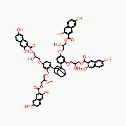 O=C(OCC(O)COc1ccc(C23CC4CC(C2)CC(c2ccc(OCC(O)COC(=O)c5cc6cc(O)ccc6cc5O)cc2OCC(O)COC(=O)c2cc5cc(O)ccc5cc2O)(C4)C3)c(OCC(O)COC(=O)c2cc3cc(O)ccc3cc2O)c1)c1cc2cc(O)ccc2cc1O